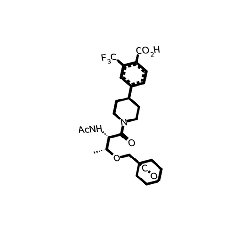 CC(=O)N[C@H](C(=O)N1CCC(c2ccc(C(=O)O)c(C(F)(F)F)c2)CC1)[C@@H](C)OCC12CCC(CC1)OC2